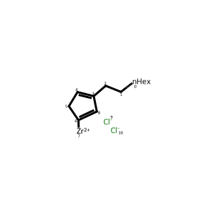 CCCCCCCCC1=CC[C]([Zr+2])=C1.[Cl-].[Cl-]